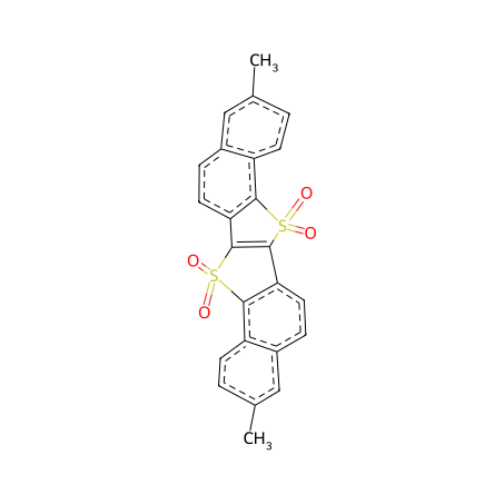 Cc1ccc2c3c(ccc2c1)C1=C(c2ccc4cc(C)ccc4c2S1(=O)=O)S3(=O)=O